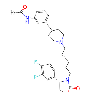 CC(C)C(=O)Nc1cccc(C2CCN(CCCCCN3C(=O)OC[C@@H]3c3ccc(F)c(F)c3)CC2)c1